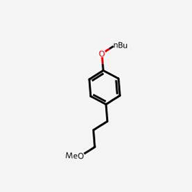 CCCCOc1ccc(CCCOC)cc1